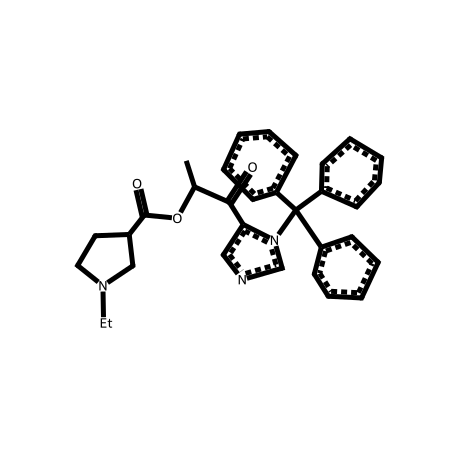 CCN1CCC(C(=O)OC(C)C(=O)c2cncn2C(c2ccccc2)(c2ccccc2)c2ccccc2)C1